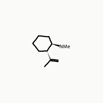 C=C(C)[C@@H]1CCCC[C@H]1NC